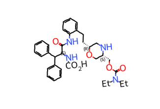 CCN(CC)C(=O)OC[C@@H]1CO[C@H](CCc2ccccc2NC(=O)[C@@H](NC(=O)O)C(c2ccccc2)c2ccccc2)CN1